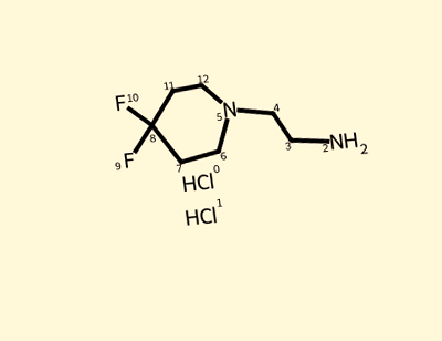 Cl.Cl.NCCN1CCC(F)(F)CC1